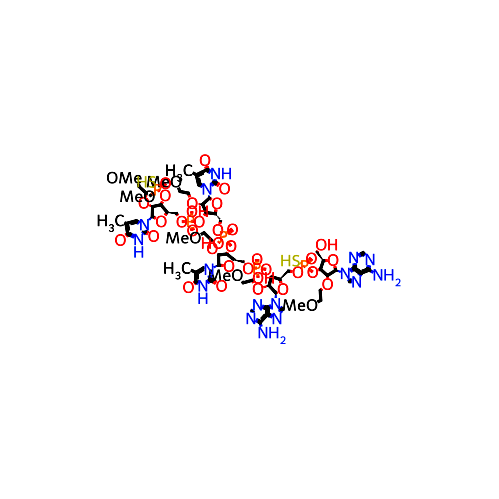 COCCO[C@H]1C(OP(=O)(O)OC[C@H]2O[C@@H](n3cc(C)c(=O)[nH]c3=O)[C@@H](OCCOC)C2OP(=O)(S)OC)[C@@H](COP(=O)(O)OC2[C@@H](COP(=O)(O)OC3[C@@H](COP(=O)(S)OC4[C@@H](CO)O[C@@H](n5cnc6c(N)ncnc65)[C@H]4OCCOC)O[C@@H](n4cnc5c(N)ncnc54)[C@H]3OCCOC)O[C@@H](n3cc(C)c(=O)[nH]c3=O)[C@H]2OCCOC)O[C@H]1n1cc(C)c(=O)[nH]c1=O